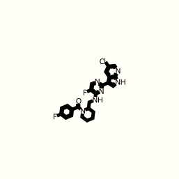 O=C(c1ccc(F)cc1)N1CCCCC1CNc1nc(-c2c[nH]c3ncc(Cl)cc23)ncc1F